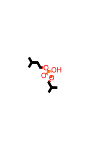 CC(C)CCOP(=O)(O)OCC(C)C